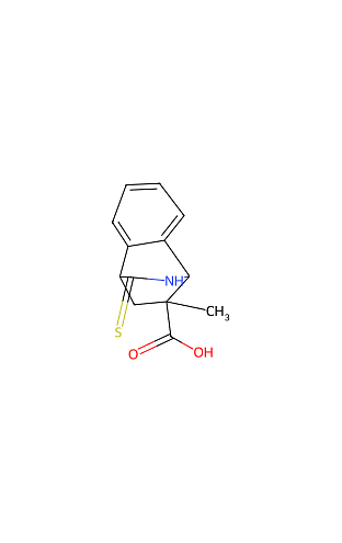 CC1(C(=O)O)CC2C(=S)NC1c1ccccc12